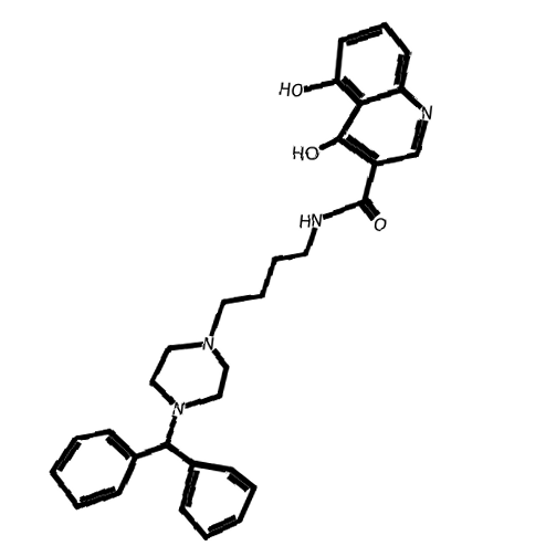 O=C(NCCCCN1CCN(C(c2ccccc2)c2ccccc2)CC1)c1cnc2cccc(O)c2c1O